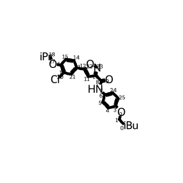 CCC(C)COc1ccc(NC(=O)c2cc(-c3ccc(OC(C)C)c(Cl)c3)on2)cc1